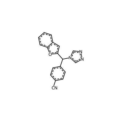 N#Cc1ccc(C(c2cc3ccccc3o2)n2cnnc2)cc1